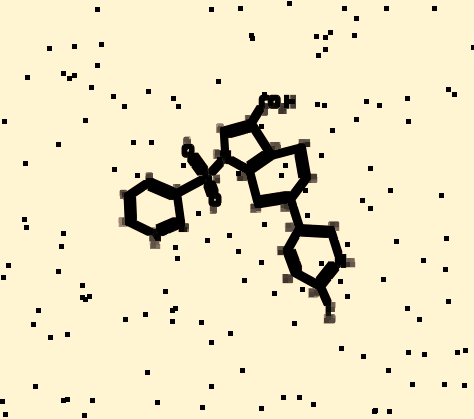 O=C(O)c1cn(S(=O)(=O)c2cccnc2)c2cc(-c3ccc(F)nc3)ccc12